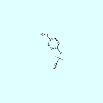 C#CC(C)(C)Oc1ccc(NC(C)=O)cc1